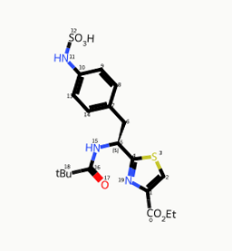 CCOC(=O)c1csc([C@H](Cc2ccc(NS(=O)(=O)O)cc2)NC(=O)C(C)(C)C)n1